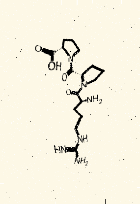 N=C(N)NCCC[C@H](N)C(=O)N1CCC[C@H]1C(=O)N1CCC[C@H]1C(=O)O